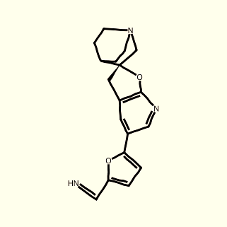 N=Cc1ccc(-c2cnc3c(c2)C[C@@]2(CN4CCC2CC4)O3)o1